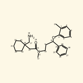 Cc1ccccc1OC(CCN(C)C(=O)CC1(CN)CCCCC1)c1ccccc1